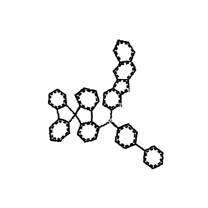 c1ccc(-c2ccc(N(c3ccc4c(n3)sc3cc5ccccc5cc34)c3cccc4c3-c3ccccc3C43c4ccccc4-c4ccccc43)cc2)cc1